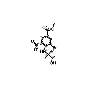 COC(=O)c1cc(Br)c(NC(C)(C)CO)c([N+](=O)[O-])c1